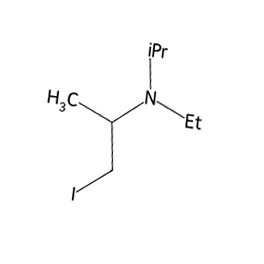 CCN(C(C)C)C(C)CI